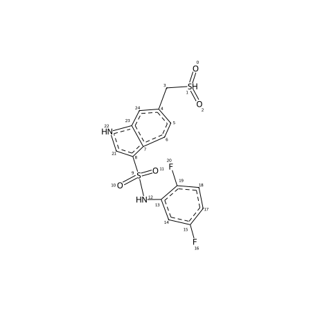 O=[SH](=O)Cc1ccc2c(S(=O)(=O)Nc3cc(F)ccc3F)c[nH]c2c1